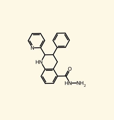 NNC(=O)c1cccc2c1CC(c1ccccc1)C(c1ccccn1)N2